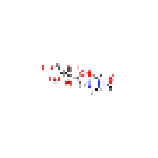 CC(=O)N1CCN(C[C@H](O)[C@@H](O)[C@H](O)[C@H](O)CO)CC1